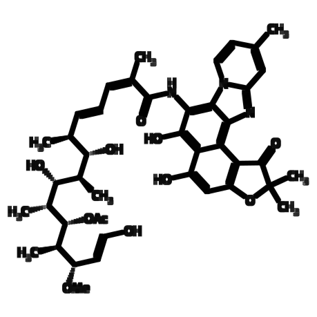 CO[C@@H](/C=C/O)[C@@H](C)[C@@H](OC(C)=O)[C@H](C)[C@H](O)[C@H](C)[C@@H](O)[C@@H](C)/C=C/C=C(/C)C(=O)Nc1c(O)c2c(O)cc3c(c2c2nc4cc(C)ccn4c12)C(=O)C(C)(C)O3